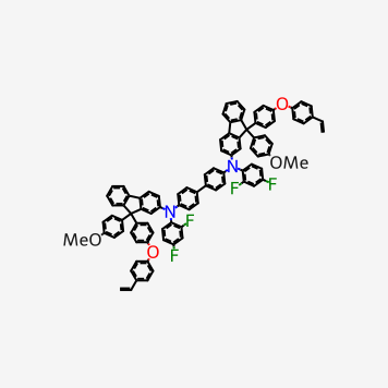 C=Cc1ccc(Oc2ccc(C3(c4ccc(OC)cc4)c4ccccc4-c4ccc(N(c5ccc(-c6ccc(N(c7ccc8c(c7)C(c7ccc(OC)cc7)(c7ccc(Oc9ccc(C=C)cc9)cc7)c7ccccc7-8)c7ccc(F)cc7F)cc6)cc5)c5ccc(F)cc5F)cc43)cc2)cc1